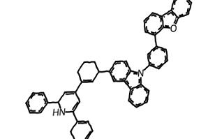 C1=CCCC(C2=CC(C3=CC(c4ccc5c(c4)c4ccccc4n5-c4cccc(-c5cccc6c5oc5ccccc56)c4)CCC3)=CC(c3ccccc3)N2)=C1